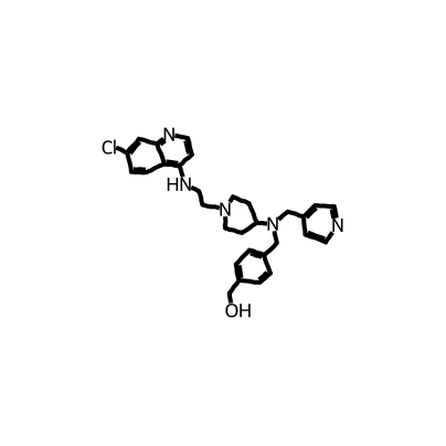 OCc1ccc(CN(Cc2ccncc2)C2CCN(CCNc3ccnc4cc(Cl)ccc34)CC2)cc1